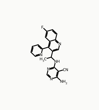 CC(Nc1ncnc(N)c1C#N)c1cnc2ccc(F)cc2c1-c1ccccn1